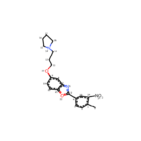 Cc1ccc(-c2nc3cc(OCCCN4CCCC4)ccc3o2)cc1[N+](=O)[O-]